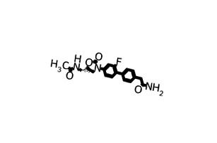 CC(=O)NC[C@H]1CN(c2ccc(-c3ccc(CC(N)=O)cc3)c(F)c2)C(=O)O1